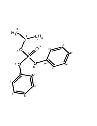 CN(C)OP(=O)(Oc1ccccc1)Oc1ccccc1